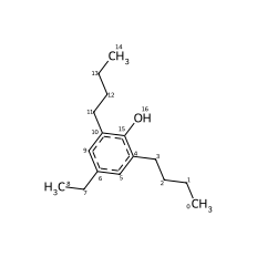 CCCCc1cc(CC)cc(CCCC)c1O